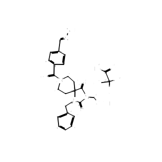 NN=Cc1ccc(C(=O)N2CCC3(CC2)C(=O)N(CC(=O)O)C(=O)N3Cc2ccccc2)cc1.O=C(O)C(F)(F)F